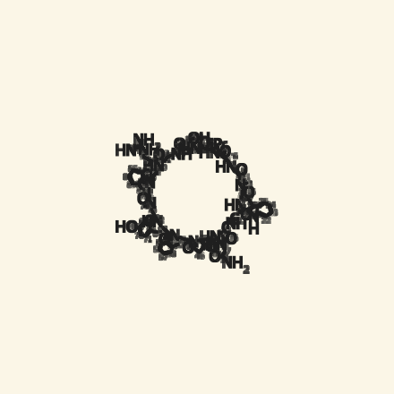 CC(C)C1NC(=O)[C@H](C)NC(=O)[C@H](C)N(C)C(=O)[C@@H](Cc2c[nH]c3ccccc23)NC(=O)CNC[C@@H](C(=O)NCC(N)=O)NC(=O)[C@@H]2CCCN2C(=O)[C@H](Cc2ccccc2)N(C)C(=O)[C@H](Cc2ccc(O)cc2)NC(=O)CN(C)C(=O)[C@H](Cc2ccccc2)N(C)C(=O)[C@H](CCCNC(=N)N)NC(=O)CNC(=O)[C@H](CO)NC1=O